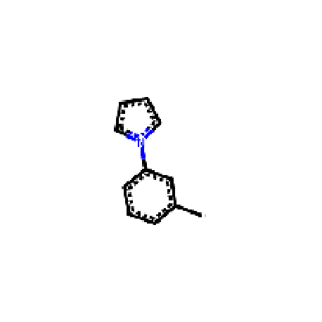 [CH2]c1cccc(-n2cccc2)c1